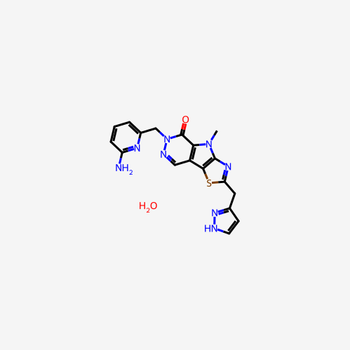 Cn1c2nc(Cc3cc[nH]n3)sc2c2cnn(Cc3cccc(N)n3)c(=O)c21.O